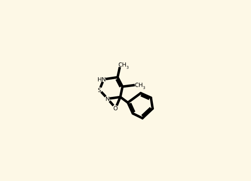 CC1=C(C)C2(c3ccccc3)ON2SN1